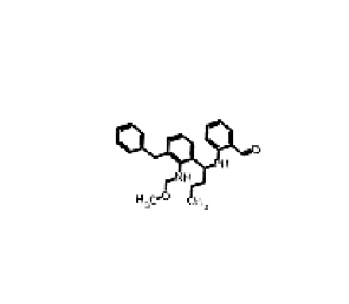 CCCC(Pc1ccccc1C=O)c1cccc(Cc2ccccc2)c1NCOC